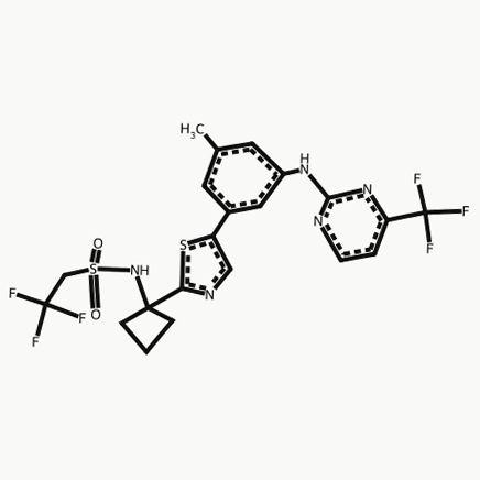 Cc1cc(Nc2nccc(C(F)(F)F)n2)cc(-c2cnc(C3(NS(=O)(=O)CC(F)(F)F)CCC3)s2)c1